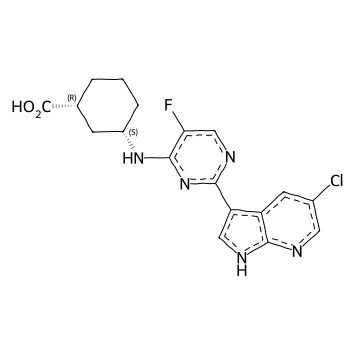 O=C(O)[C@@H]1CCC[C@H](Nc2nc(-c3c[nH]c4ncc(Cl)cc34)ncc2F)C1